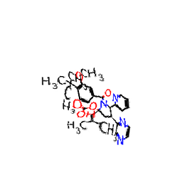 COc1cc(C(=O)N2[C@@H](c3ccccn3)[C@@H](c3cnccn3)C[C@]2(CC(C)C)OC(=O)O)ccc1C(C)(C)C